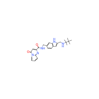 CC(C)(C)C(C)(C)NCc1cc2ccc(CNC(=O)c3cc(=O)n4ccccc4n3)cc2[nH]1